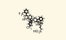 CCC[C@H]1N(C(=O)c2ncccc2C(F)(F)F)CCC[C@@]1(Oc1csc(C(F)(F)F)c1)C(=O)N1CCC(c2ccccc2S(=O)(=O)NCCCC(=O)O)CC1